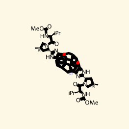 COC(=O)N[C@H](C(=O)N1C[C@H](C)C[C@H]1c1nc2cc(-c3cc4ccc3/C=C\c3ccc(c(-c5ccc6[nH]c([C@@H]7C[C@@H](C)CN7C(=O)[C@@H](NC(=O)OC)C(C)C)nc6c5)c3)CC4)ccc2[nH]1)C(C)C